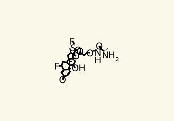 CC1CC2C3CC(F)C4=CC(=O)C=CC4(C)C3(F)C(O)CC2(C)C1(OC(=O)CCOCNC(=O)[C@H](C)N)C(=O)SCF